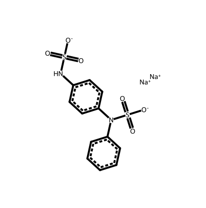 O=S(=O)([O-])Nc1ccc(N(c2ccccc2)S(=O)(=O)[O-])cc1.[Na+].[Na+]